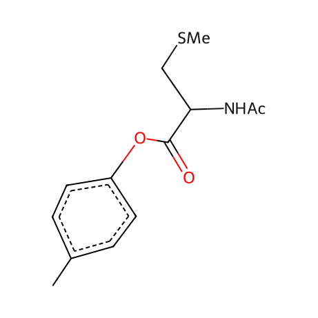 CSCC(NC(C)=O)C(=O)Oc1ccc(C)cc1